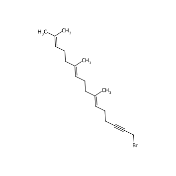 CC(C)=CCC/C(C)=C/CC/C(C)=C/CCC#CCBr